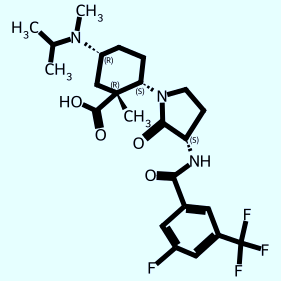 CC(C)N(C)[C@@H]1CC[C@H](N2CC[C@H](NC(=O)c3cc(F)cc(C(F)(F)F)c3)C2=O)[C@](C)(C(=O)O)C1